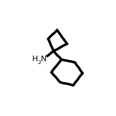 NC1(C2CCCCC2)CCC1